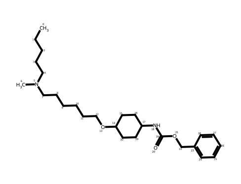 CCCCCN(C)CCCCCCOC1CCC(NC(=O)OCc2ccccc2)CC1